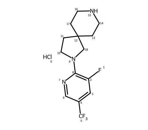 Cl.Fc1cc(C(F)(F)F)cnc1N1CCC2(CCNCC2)C1